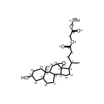 CC(CCC(=O)OCC(=O)OC(C)(C)C)C1CCC2C3CCC4CC(O)CCC4(C)C3CC3O[C@@]312